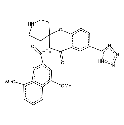 COc1cc(C(=O)[C@H]2C(=O)c3cc(-c4nnn[nH]4)ccc3OC23CCNCC3)nc2c(OC)cccc12